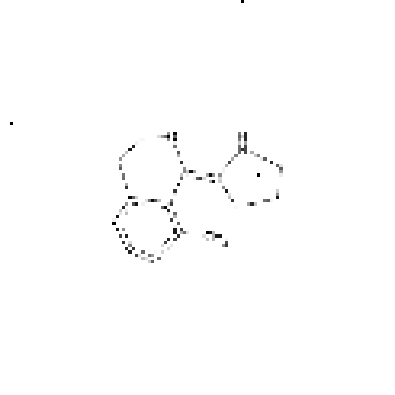 Cc1cccc2c1/C(=C1\CCCN1)OCC2